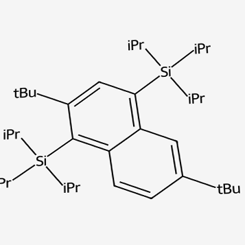 CC(C)[Si](c1cc(C(C)(C)C)c([Si](C(C)C)(C(C)C)C(C)C)c2ccc(C(C)(C)C)cc12)(C(C)C)C(C)C